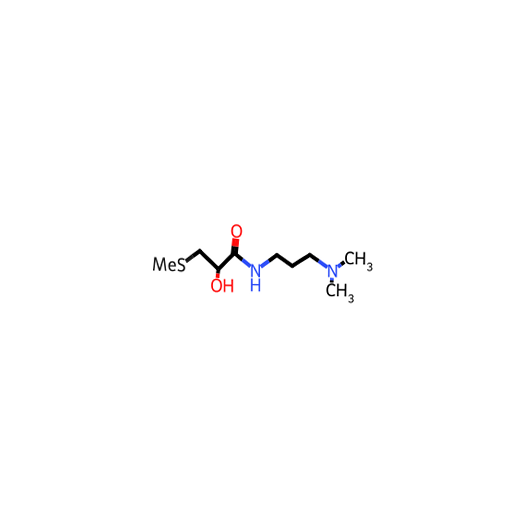 CSCC(O)C(=O)NCCCN(C)C